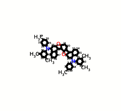 Cc1ccc(N(c2cc(C)cc(C)c2)c2cc3oc4c(ccc5oc6cc(N(c7ccc(C)cc7)c7cc(C)cc(C)c7)c7ccccc7c6c54)c3c3ccccc23)cc1